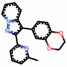 Cc1cccc(-c2nn3ccccc3c2-c2ccc3c(c2)OCCO3)n1